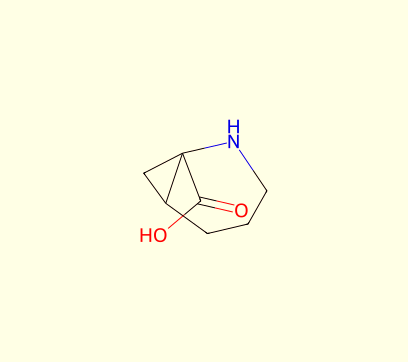 O=C(O)C12CC1CCCN2